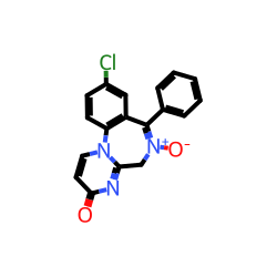 O=c1ccn2c(n1)C[N+]([O-])=C(c1ccccc1)c1cc(Cl)ccc1-2